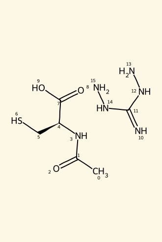 CC(=O)N[C@@H](CS)C(=O)O.N=C(NN)NN